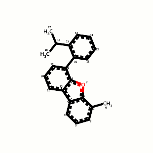 Cc1cccc2c1oc1c(-c3ccccc3C(C)C)cccc12